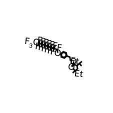 CCC(C)(C)CC(C(=O)OCCc1ccc(OC(F)C(F)(F)C(F)(F)C(F)(F)C(F)(F)C(F)(F)C(F)(F)C(F)(F)F)cc1)C(C)(C)CC